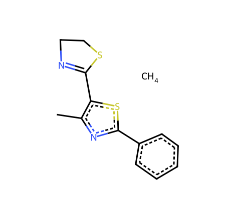 C.Cc1nc(-c2ccccc2)sc1C1=NCCS1